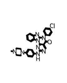 CN1CCN(c2ccc(Nc3ncc4c(=O)n(-c5ccc(Cl)cc5)c5nc6ccccc6n5c4n3)cc2)CC1